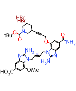 Br.Br.COc1cc(C(=O)O)cc2nc(N)n(C/C=C/Cn3c(N)nc4cc(C(N)=O)cc(OCC#CC5CCCN(C(=O)OC(C)(C)C)C5)c43)c12